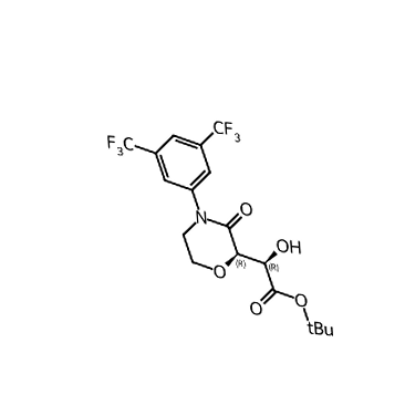 CC(C)(C)OC(=O)[C@H](O)[C@H]1OCCN(c2cc(C(F)(F)F)cc(C(F)(F)F)c2)C1=O